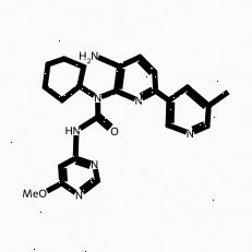 COc1cc(NC(=O)N(c2nc(-c3cncc(C)c3)ccc2N)C2CCCCC2)ncn1